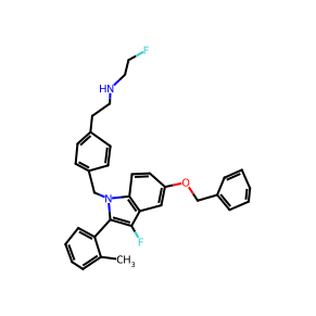 Cc1ccccc1-c1c(F)c2cc(OCc3ccccc3)ccc2n1Cc1ccc(CCNCCF)cc1